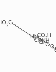 C=C(C=N)COCCOCCNC(=O)CC[C@H](NC(C)CCCCCCCCCCCCCCCCC(=O)O)C(=O)O